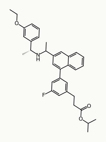 CCOc1cccc([C@@H](C)NC(C)c2cc(-c3cc(F)cc(CCC(=O)OC(C)C)c3)c3ccccc3c2)c1